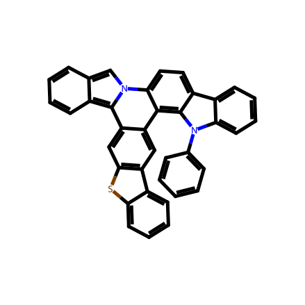 c1ccc(-n2c3ccccc3c3ccc4c(c5cc6c(cc5c5c7ccccc7cn45)sc4ccccc46)c32)cc1